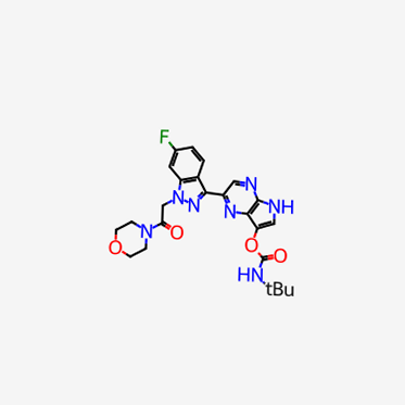 CC(C)(C)NC(=O)Oc1c[nH]c2ncc(-c3nn(CC(=O)N4CCOCC4)c4cc(F)ccc34)nc12